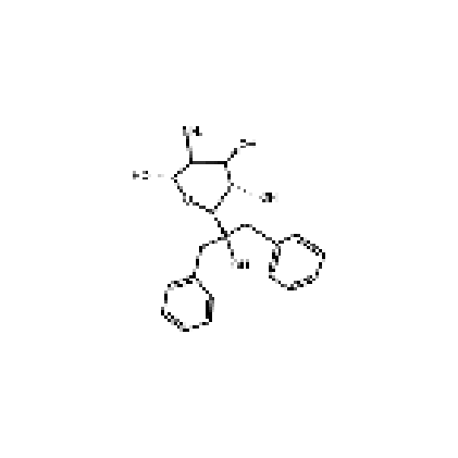 N[C@H]1[C@@H](O)[C@H](O)[C@@H](C(O)(Cc2ccccc2)Cc2ccccc2)O[C@@H]1O